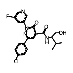 CC(C)C(CO)NC(=O)c1cc(-c2ccc(Cl)cc2)nn(-c2cncc(F)c2)c1=O